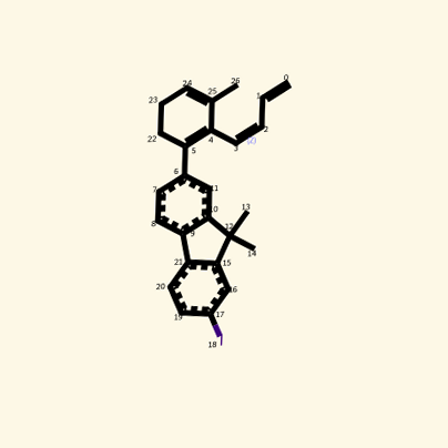 C=C/C=C\C1=C(c2ccc3c(c2)C(C)(C)c2cc(I)ccc2-3)CCC=C1C